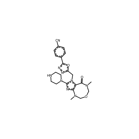 CN1COCN(C)c2nc(N3CCNCC3)n(Cc3nnc(-c4ccc(C#N)cc4)o3)c2C1=O